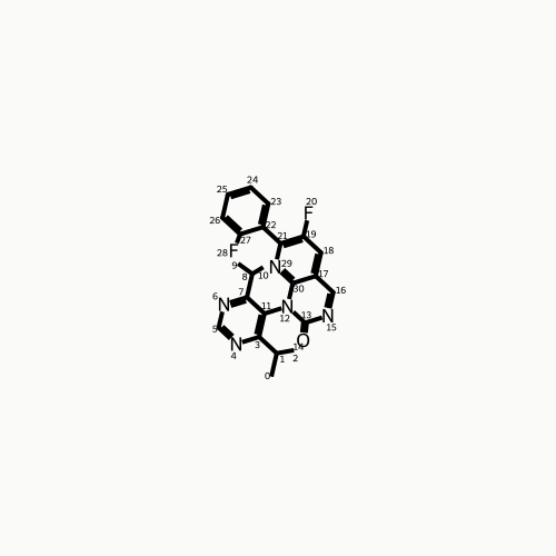 CC(C)c1ncnc(C(C)C)c1-n1c(=O)ncc2cc(F)c(-c3ccccc3F)nc21